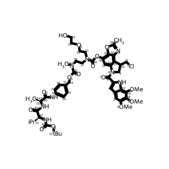 COc1cc2cc(C(=O)N3CC(CCl)c4c3cc(OC(=O)N(CCOCCO)CCN(C)C(=O)OCc3ccc(NC(=O)[C@H](C)NC(=O)[C@@H](NC(=O)OC(C)(C)C)C(C)C)cc3)c3oc(C)nc43)[nH]c2c(OC)c1OC